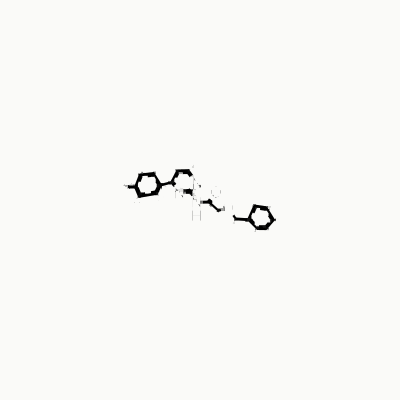 O=C(COCc1ccccc1)Nc1nccc(-c2ccc(F)cc2)n1